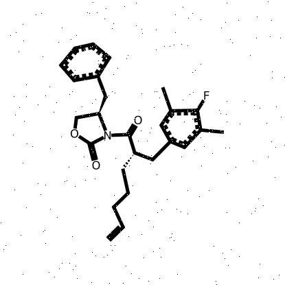 C=CCCC[C@@H](Cc1cc(C)c(F)c(C)c1)C(=O)N1C(=O)OC[C@H]1Cc1ccccc1